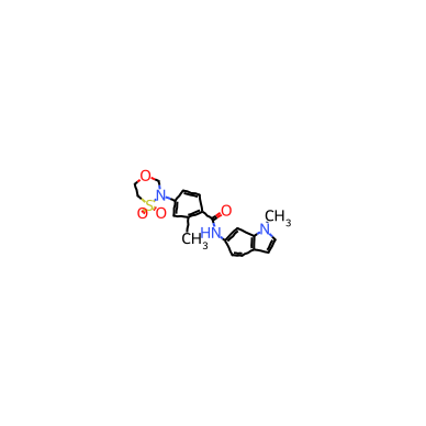 Cc1cc(N2COCCS2(=O)=O)ccc1C(=O)Nc1ccc2ccn(C)c2c1